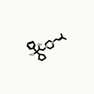 CC(C)=CCN1CCN(CC(O)C(O)(c2ccccc2)C2CCCC2)CC1